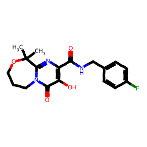 CC1(C)OCCCn2c1nc(C(=O)NCc1[c]cc(F)cc1)c(O)c2=O